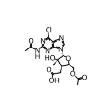 CC(=O)Nc1nc(Cl)c2ncn([C@@H]3O[C@@H](COC(C)=O)[C@@H](CC(=O)O)[C@]3(C)O)c2n1